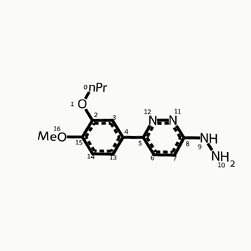 CCCOc1cc(-c2ccc(NN)nn2)ccc1OC